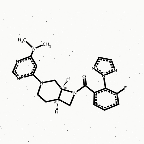 CN(C)c1cc(N2CC[C@@H]3CN(C(=O)c4cccc(F)c4-n4nccn4)[C@@H]3C2)ncn1